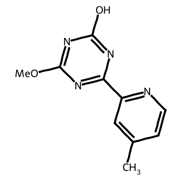 COc1nc(O)nc(-c2cc(C)ccn2)n1